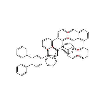 c1ccc(-c2ccc(-c3ccc(N(c4ccccc4-c4cccc5cccc(-c6ccccc6)c45)c4ccccc4-c4cccc5c6ccccc6n(-c6ccccc6)c45)cc3)cc2-c2ccccc2)cc1